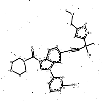 COCc1cc(C(C)(O)C#Cc2ccc3c(C(=O)N4CCOCC4)nn(-c4ccnc(N)n4)c3c2)no1